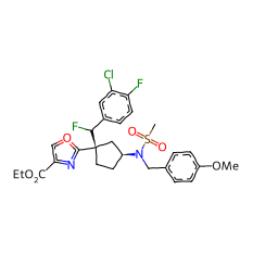 CCOC(=O)c1coc([C@@]2(C(F)c3ccc(F)c(Cl)c3)CC[C@H](N(Cc3ccc(OC)cc3)S(C)(=O)=O)C2)n1